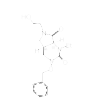 CCN1C(=O)N(OCc2ccccc2)C[C@H]2CN(CCO)C(=O)[C@H]21